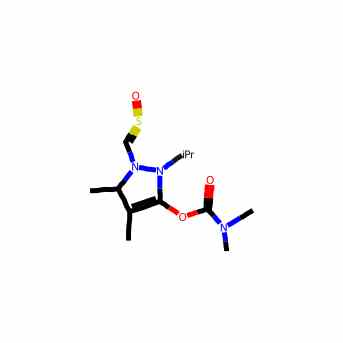 CC1=C(OC(=O)N(C)C)N(C(C)C)N(C=S=O)C1C